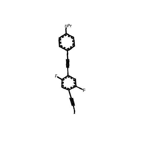 CC#Cc1cc(F)c(C#Cc2ccc(CCC)cc2)cc1F